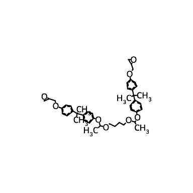 CC(OCCCCOC(C)Oc1ccc(C(C)(C)c2ccc(OCC3CO3)cc2)cc1)Oc1ccc(C(C)(C)c2ccc(OCC3CO3)cc2)cc1